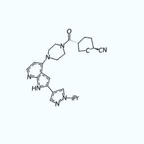 CC(C)n1cc(-c2cc3c(N4CCN(C(=O)[C@H]5CC[C@H](C#N)CC5)CC4)ccnc3[nH]2)cn1